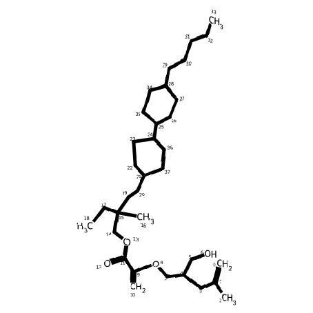 C=C(C)CC(CO)COC(=C)C(=O)OCC(C)(CC)CCC1CCC(C2CCC(CCCCC)CC2)CC1